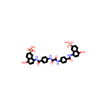 O=C(Nc1ccc(C(=O)Nc2ccc(O)c3ccc(S(=O)(=O)O)cc23)cc1)C(=O)Nc1ccc(C(=O)Nc2ccc(O)c3ccc(S(=O)(=O)O)cc23)cc1